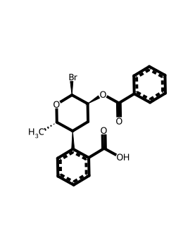 C[C@@H]1O[C@@H](Br)[C@@H](OC(=O)c2ccccc2)C[C@H]1c1ccccc1C(=O)O